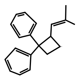 CC(C)=CC1[CH]CC1(c1ccccc1)c1ccccc1